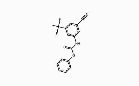 N#Cc1cc(NC(=O)Oc2ccccc2)cc(C(F)(F)F)c1